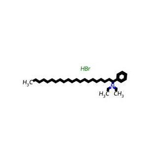 Br.CCCCCCCCCCCCCCCCCCCCC(c1ccccc1)N(CC)CC